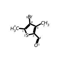 Cc1sc(C=O)c(C)c1Br